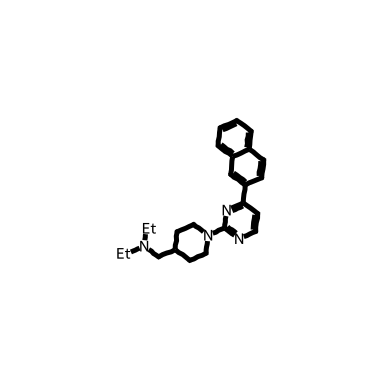 CCN(CC)CC1CCN(c2nccc(-c3ccc4ccccc4c3)n2)CC1